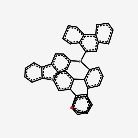 c1ccc(-c2ccccc2-c2c(-c3ccccc3)cccc2N(c2ccc3c(c2)sc2ccccc23)c2cc3ccccc3c3ccccc23)cc1